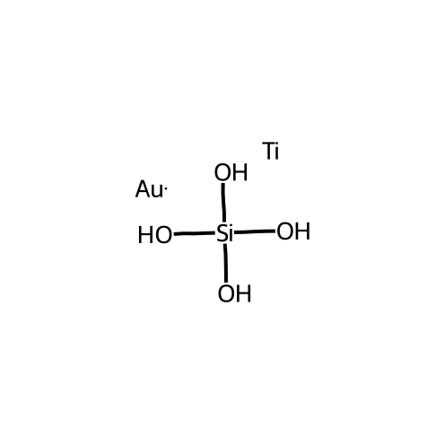 O[Si](O)(O)O.[Au].[Ti]